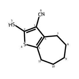 N#Cc1c(S)sc2c1CCCCC2